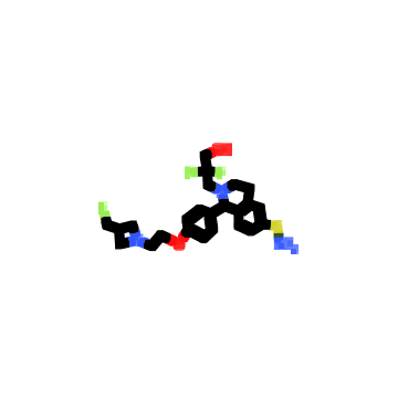 NSc1ccc2c(c1)CCN(CC(F)(F)CO)C2c1ccc(OCCN2CC(CF)C2)cc1